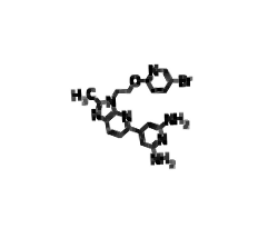 Cc1nc2ccc(-c3cc(N)nc(N)c3)nc2n1CCOc1ccc(Br)cn1